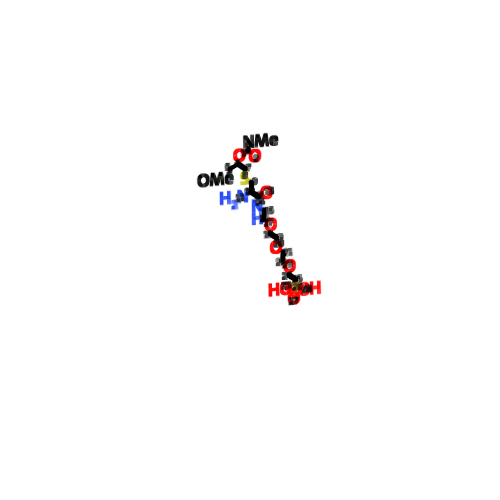 CNC(=O)O[C@H](COC)CSC[C@H](N)C(=O)NCCOCCOCCOCCP(=O)(O)O